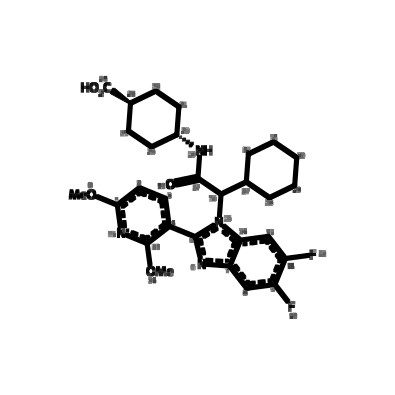 COc1ccc(-c2nc3cc(F)c(F)cc3n2C(C(=O)N[C@H]2CC[C@H](C(=O)O)CC2)C2CCCCC2)c(OC)n1